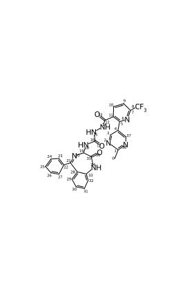 Cc1ncc(-c2nc(C(F)(F)F)ccc2C(=O)NNC(=O)NC2N=C(c3ccccc3)c3ccccc3NC2=O)cn1